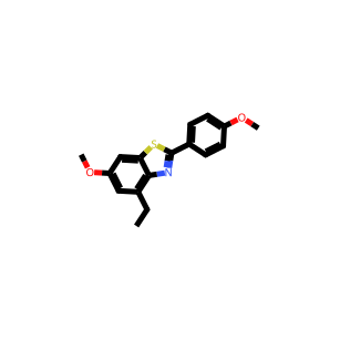 CCc1cc(OC)cc2sc(-c3ccc(OC)cc3)nc12